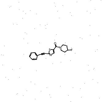 O=C(c1cnc(C#Cc2ccccc2)s1)N1CCC(F)CC1